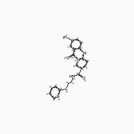 CC(C)c1ccc2nc3ccc(C(=O)NCCSc4ccccn4)cn3c(=O)c2c1